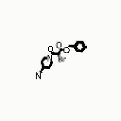 N#CC1CCN(C(=O)C(Br)C(=O)OCc2ccccc2)CC1